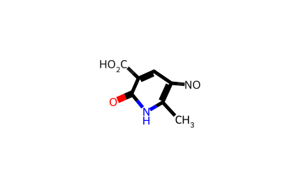 Cc1[nH]c(=O)c(C(=O)O)cc1N=O